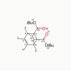 CC1=C(C)C2(C)CCC1(C)C(C(=O)OCC(C)C)C2C(=O)OCC(C)C